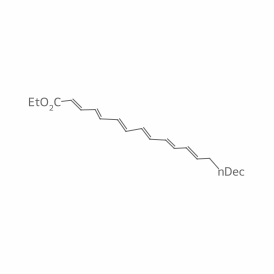 CCCCCCCCCCC/C=C/C=C/C=C/C=C/C=C/C=C/C(=O)OCC